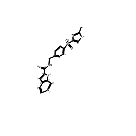 Cc1nc(S(=O)(=O)c2ccc(CNC(=O)c3cc4ccncc4o3)cc2)cs1